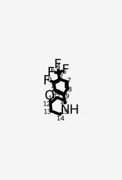 Fc1c(C(F)(F)F)ccc2c1OC1CCNC2C1